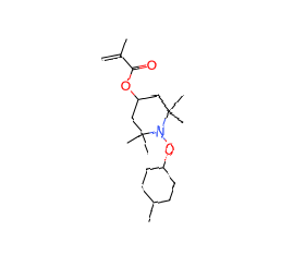 C=C(C)C(=O)OC1CC(C)(C)N(OC2CCC(C)CC2)C(C)(C)C1